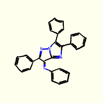 c1ccc(/N=C2/C(c3ccccc3)=Nn3c2nc(-c2ccccc2)c3-c2ccccc2)cc1